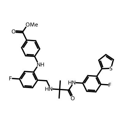 COC(=O)c1ccc(Nc2cc(F)ccc2CNC(C)(C)C(=O)Nc2ccc(F)c(-c3cccs3)c2)cc1